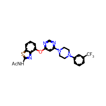 CC(=O)Nc1nc2c(Oc3cc(N4CCN(c5cccc(C(F)(F)F)c5)CC4)ncn3)cccc2s1